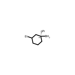 B[C@@]1(CCC)CCCC(CC)C1